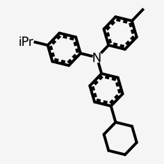 Cc1ccc(N(c2ccc(C(C)C)cc2)c2ccc(C3CCCCC3)cc2)cc1